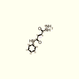 NNC(=O)/C=C/C(=O)Nc1ccccc1